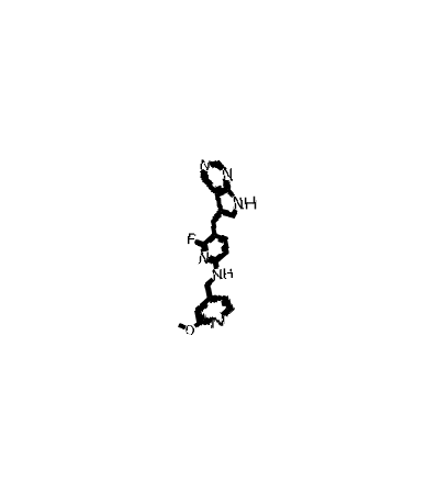 COc1cc(CNc2ccc(CC3CNc4ncncc43)c(F)n2)ccn1